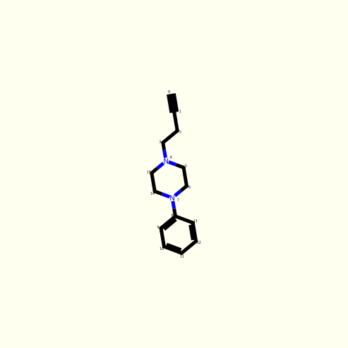 C#CCCN1CCN(c2ccccc2)CC1